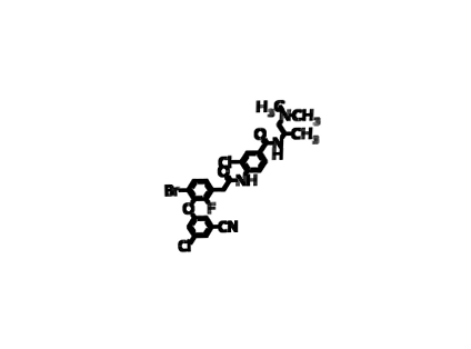 CC(CN(C)C)NC(=O)c1ccc(NC(=O)Cc2ccc(Br)c(Oc3cc(Cl)cc(C#N)c3)c2F)c(Cl)c1